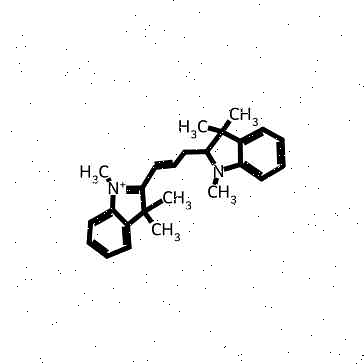 CN1c2ccccc2C(C)(C)C1CC=CC1=[N+](C)c2ccccc2C1(C)C